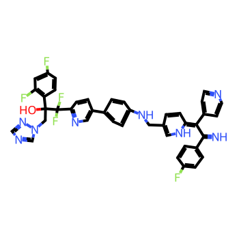 N=C(/C(=C1/C=CC(CNc2ccc(-c3ccc(C(F)(F)C(O)(Cn4cncn4)c4ccc(F)cc4F)nc3)cc2)=CN1)c1ccncc1)c1ccc(F)cc1